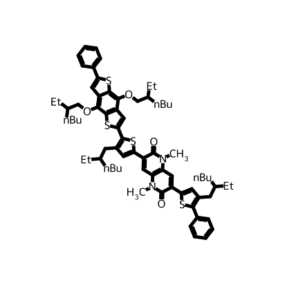 CCCCC(CC)COc1c2cc(-c3sc(-c4cc5c(cc(-c6cc(CC(CC)CCCC)c(-c7ccccc7)s6)c(=O)n5C)n(C)c4=O)cc3CC(CC)CCCC)sc2c(OCC(CC)CCCC)c2cc(-c3ccccc3)sc12